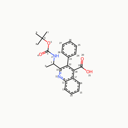 CC(NC(=O)OC(C)(C)C)c1nc2ccccc2c(C(=O)O)c1-c1ccccc1